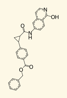 O=C(OCc1ccccc1)c1ccc(C2CC2C(=O)Nc2ccc3c(O)nccc3c2)cc1